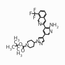 CC(C)(C)OC(=O)N1CCC(n2cc(-c3cnc(N)c(-c4cc5cccc(C(F)(F)F)c5cn4)c3)cn2)CC1